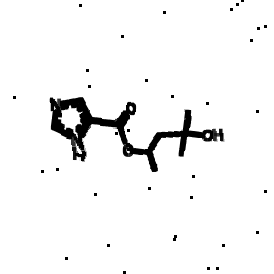 CC(CC(C)(C)O)OC(=O)c1cnc[nH]1